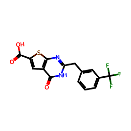 O=C(O)c1cc2c(=O)[nH]c(Cc3cccc(C(F)(F)F)c3)nc2s1